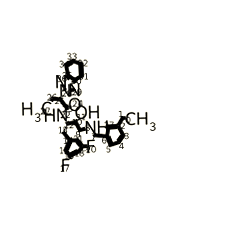 CCc1cccc(CNC[C@H](O)[C@H](Cc2cc(F)cc(F)c2)NC(=O)C(CC)n2nc3ccccc3n2)c1